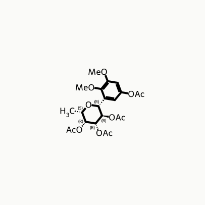 COc1cc(OC(C)=O)cc([C@H]2O[C@@H](C)[C@@H](OC(C)=O)[C@@H](OC(C)=O)[C@@H]2OC(C)=O)c1OC